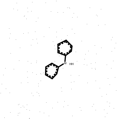 [HH].c1cc[c]([Al][c]2ccccc2)cc1